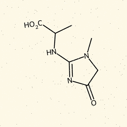 CC(NC1=NC(=O)CN1C)C(=O)O